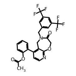 CC(=O)Oc1ccccc1-c1ccnc2c1CN(Cc1cc(C(F)(F)F)cc(C(F)(F)F)c1)C(=O)CO2